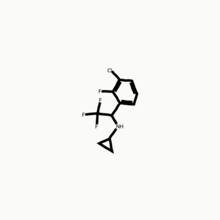 Fc1c(Cl)cccc1C(NC1CC1)C(F)(F)F